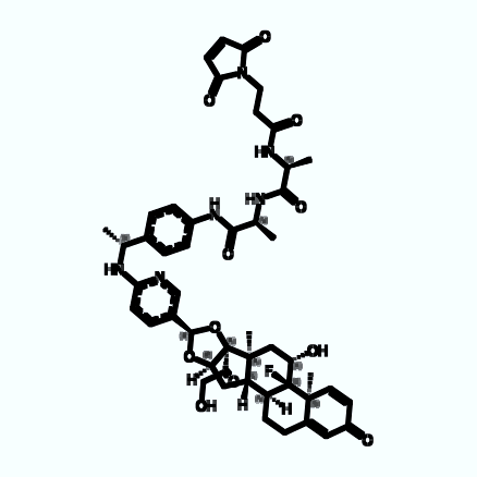 C[C@H](NC(=O)CCN1C(=O)C=CC1=O)C(=O)N[C@@H](C)C(=O)Nc1ccc([C@@H](C)Nc2ccc([C@@H]3O[C@@H]4C[C@H]5[C@@H]6CCC7=CC(=O)C=C[C@]7(C)[C@@]6(F)[C@@H](O)C[C@]5(C)[C@]4(C(=O)CO)O3)cn2)cc1